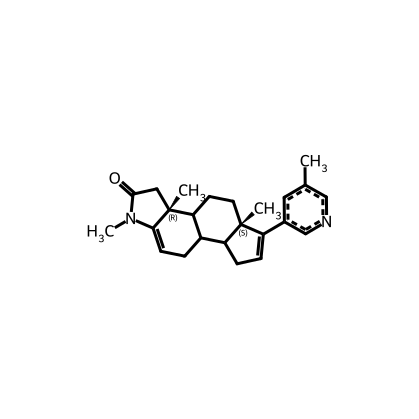 Cc1cncc(C2=CCC3C4CC=C5N(C)C(=O)C[C@]5(C)C4CC[C@]23C)c1